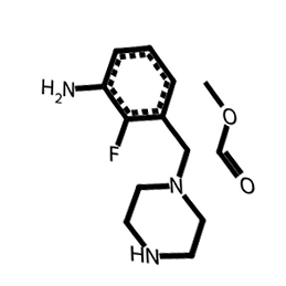 COC=O.Nc1cccc(CN2CCNCC2)c1F